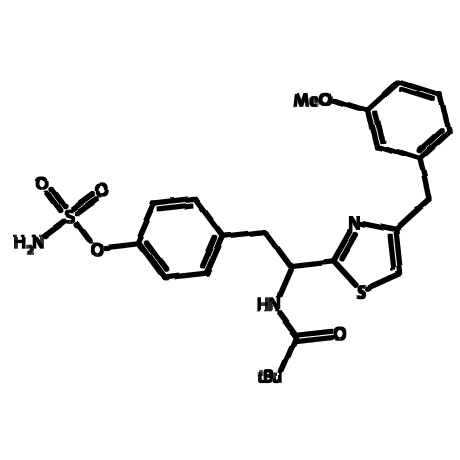 COc1cccc(Cc2csc(C(Cc3ccc(OS(N)(=O)=O)cc3)NC(=O)C(C)(C)C)n2)c1